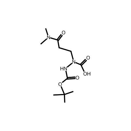 CN(C)C(=O)CCN(NC(=O)OC(C)(C)C)C(=O)O